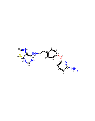 Nc1cccc(Oc2ccc(CCNc3ncnc4scnc34)cc2)n1